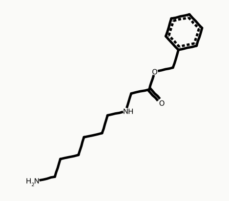 NCCCCCCNCC(=O)OCc1ccccc1